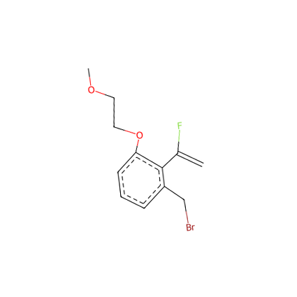 C=C(F)c1c(CBr)cccc1OCCOC